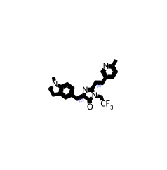 Cc1ccc(/C=C/C2=NC(=C\c3ccc4c(c3)CCN4C)/C(=O)N2CC(F)(F)F)cn1